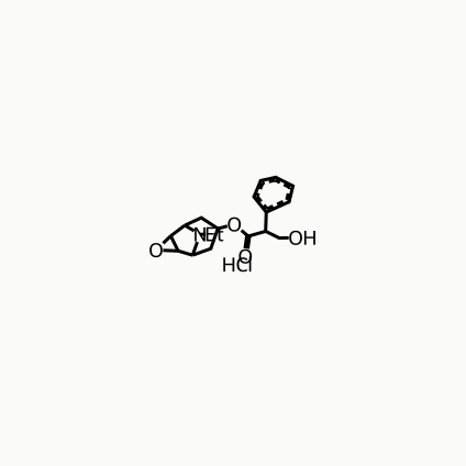 CCN1C2CC(OC(=O)C(CO)c3ccccc3)CC1C1OC12.Cl